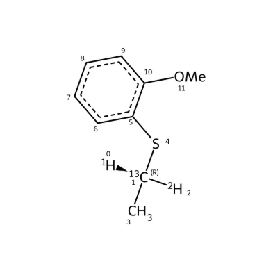 [1H][13C@@]([2H])(C)Sc1ccccc1OC